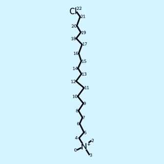 C[N+](C)(C)CCCCCCCCCCCCCCCCCCCl